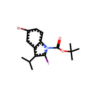 CC(C)c1c(I)n(C(=O)OC(C)(C)C)c2ccc(Br)cc12